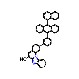 N#Cc1cc2ccc(-c3cccc(-c4c5ccccc5c(-c5cccc6ccccc56)c5ccccc45)c3)cc2n2c3c(nc12)=CCCC=3